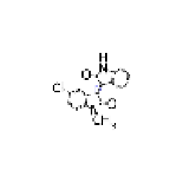 CN1C(=O)/C(=C2/C(=O)Nc3ccccc32)c2cc(Cl)ccc21